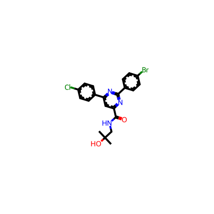 CC(C)(O)CNC(=O)c1cc(-c2ccc(Cl)cc2)nc(-c2ccc(Br)cc2)n1